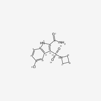 NC(=O)c1[nH]c2ccc(Cl)cc2c1S(=O)(=O)N1CCC1